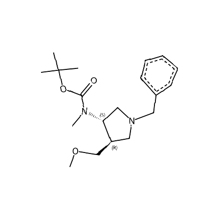 COC[C@@H]1CN(Cc2ccccc2)C[C@H]1N(C)C(=O)OC(C)(C)C